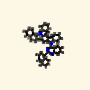 c1ccc2c(-c3nc(-n4c5ccccc5c5c6c7ccccc7n7c8c9ccccc9ccc8c(cc54)c67)c4ccccc4n3)cccc2c1